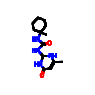 CC1=CC(=O)NC(NC(=O)NC2(C)CCCCC2)N1